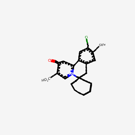 COc1cc2c(cc1Cl)-c1cc(=O)c(C(=O)O)cn1C1(CCCCC1)C2